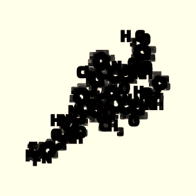 COc1ccc(S(=O)(=O)Nc2cc(=O)c3cc(-c4cc(Cl)nc(Cc5cccc(-c6nc7[nH]cc(N[S+]([O-])Cc8ccc(C(F)(F)F)nc8)c(=O)c7cc6-c6cc(Cl)nc(Cc7cccc(-c8nc9[nH]c(N[S+]([O-])CC%10CCCC%10)cc(=O)c9cc8-c8cc(C)nc(Cl)c8)c7)c6)c5)c4)c(-c4ccccc4)nc3[nH]2)cc1